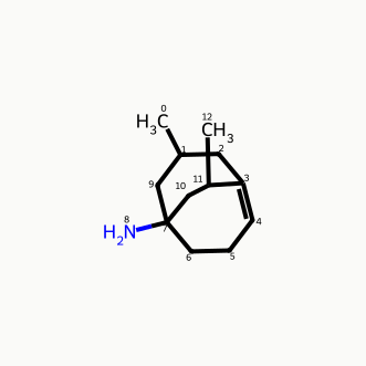 CC1CC2=CCCC(N)(C1)CC2C